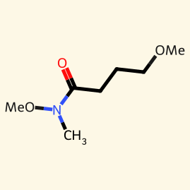 COCCCC(=O)N(C)OC